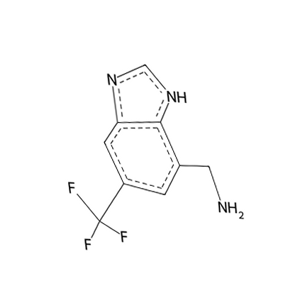 NCc1cc(C(F)(F)F)cc2nc[nH]c12